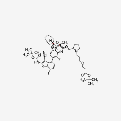 CC(C)(C)OC(=O)CCOCCCN1CCCC1COc1nc(N2CC3CCC(C2)N3C(=O)OC(C)(C)C)c2cc(Cl)c(-c3ccc(F)c4sc(NC(=O)OC(C)(C)C)c(C#N)c34)c(F)c2n1